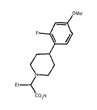 CCC(C(=O)O)N1CCC(c2ccc(OC)cc2F)CC1